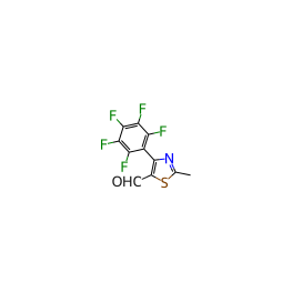 Cc1nc(-c2c(F)c(F)c(F)c(F)c2F)c(C=O)s1